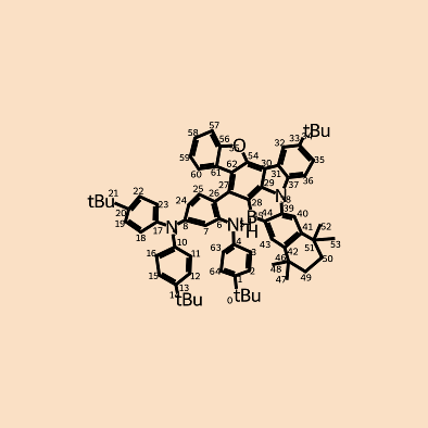 CC(C)(C)c1ccc(Nc2cc(N(c3ccc(C(C)(C)C)cc3)c3ccc(C(C)(C)C)cc3)ccc2-c2c3c4c(c5cc(C(C)(C)C)ccc5n4-c4cc5c(cc4B3)C(C)(C)CCC5(C)C)c3oc4ccccc4c23)cc1